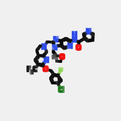 O=C(Nc1cc2nc(CN3CCc4cc(C(F)(F)F)c(OCc5ccc(Cl)cc5F)nc4C3)n(C[C@@H]3CCO3)c2cn1)c1cccnc1